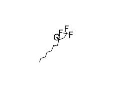 CCCCCC=CC(=O)CC(F)(F)F